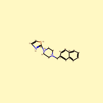 c1ccc2cc(CN3CCN(c4nccs4)CC3)ccc2c1